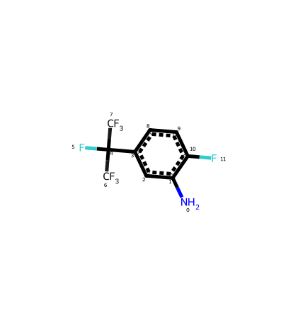 Nc1cc(C(F)(C(F)(F)F)C(F)(F)F)ccc1F